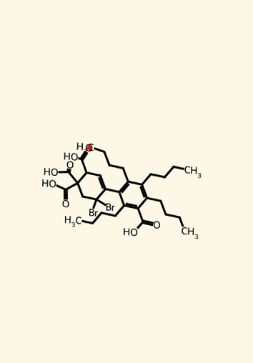 CCCCc1c(CCCC)c(C(=O)O)c(CCCC)c(C2=CC(C(=O)O)C(C(=O)O)(C(=O)O)CC2(Br)Br)c1CCCC